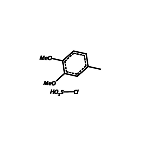 COc1ccc(C)cc1OC.O=S(=O)(O)Cl